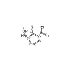 O=C(Cl)c1cccc(NO)c1F